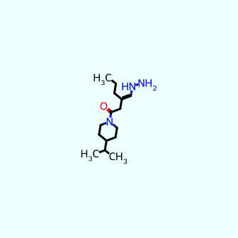 CCC/C(=C\NN)CC(=O)N1CCC(C(C)C)CC1